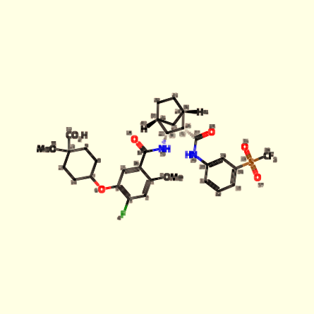 COc1cc(F)c(OC2CCC(OC)(C(=O)O)CC2)cc1C(=O)N[C@@H]1[C@@H]2CC[C@@H](C2)[C@@H]1C(=O)Nc1cccc(S(=O)(=O)C(F)(F)F)c1